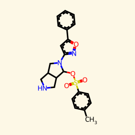 Cc1ccc(S(=O)(=O)OC2C3CNCC3CN2c2cc(-c3ccccc3)on2)cc1